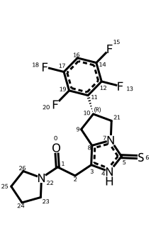 O=C(Cc1[nH]c(=S)n2c1C[C@H](c1c(F)c(F)cc(F)c1F)C2)N1CCCC1